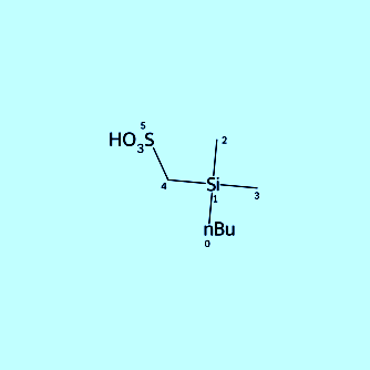 CCCC[Si](C)(C)CS(=O)(=O)O